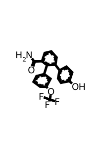 NC(=O)c1cccc(-c2ccc(O)cc2)c1-c1cccc(OC(F)(F)F)c1